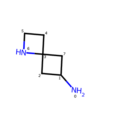 NC1CC2(CCN2)C1